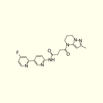 Cc1cc2n(n1)CCCN2C(=O)CCC(=O)Nc1ccc(-c2cc(F)ccn2)cn1